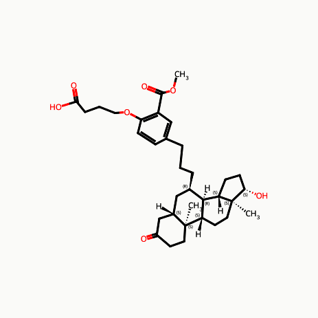 COC(=O)c1cc(CCC[C@@H]2C[C@H]3CC(=O)CC[C@]3(C)[C@H]3CC[C@]4(C)[C@@H](O)CC[C@H]4[C@H]23)ccc1OCCCC(=O)O